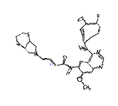 COc1cc2ncnc(Nc3ccc(F)c(Cl)c3)c2cc1NC(=O)/C=C/CN1CC2SCCSC2C1